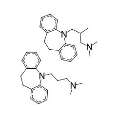 CC(CN(C)C)CN1c2ccccc2CCc2ccccc21.CN(C)CCCN1c2ccccc2CCc2ccccc21